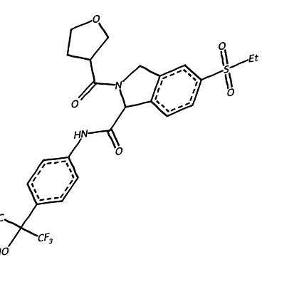 CCS(=O)(=O)c1ccc2c(c1)CN(C(=O)C1CCOC1)C2C(=O)Nc1ccc(C(O)(C(F)(F)F)C(F)(F)F)cc1